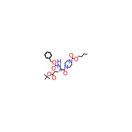 CCCCOC(=O)N1CCN(C(=O)[C@H](CCC(=O)OC(C)(C)C)NC(=O)OCc2ccccc2)CC1